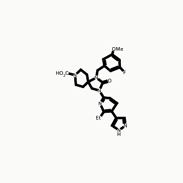 CCc1nc(N2CC3(CCN(C(=O)O)CC3)N(Cc3cc(F)cc(OC)c3)C2=O)ccc1-c1cn[nH]c1